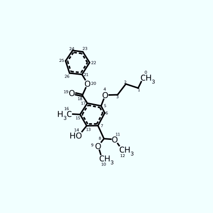 CCCCOc1cc(C(OC)OC)c(O)c(C)c1C(=O)Oc1ccccc1